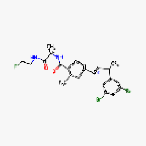 C[C@@H](NC(=O)c1ccc(/C=C/C(c2cc(Br)cc(Br)c2)C(F)(F)F)cc1C(F)(F)F)C(=O)NCCF